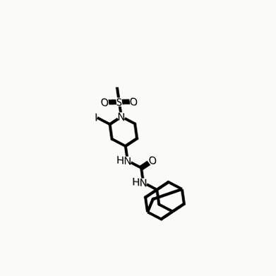 CS(=O)(=O)N1CCC(NC(=O)NC23CC4CC(CC(C4)C2)C3)CC1I